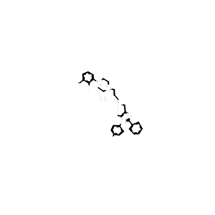 Cc1c(Cl)cccc1N1CCN(C[C@@H](O)CNC(=O)c2nc(-c3ccccc3)n(-c3ccc(F)cc3)c2C)CC1